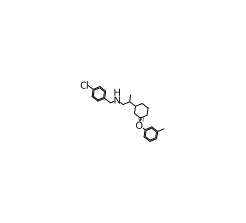 Cc1cccc(O[C@@H]2CCCC(C(C)CNCc3ccc(Cl)cc3)C2)c1